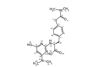 CN(C)C(=O)Oc1ccc(C[C@H](Nc2nc(O)nc(N(C)C)n2)C(=O)O)cc1